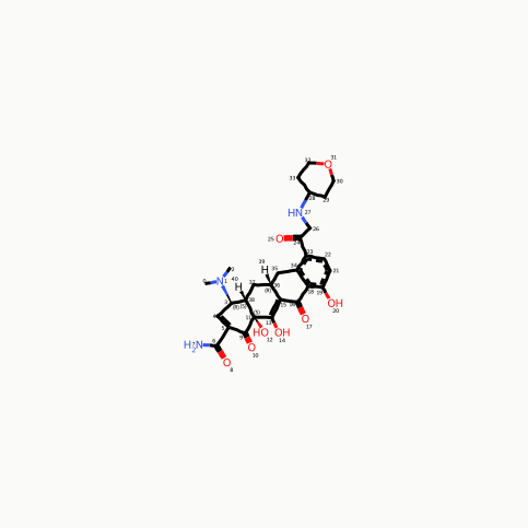 CN(C)[C@@H]1C=C(C(N)=O)C(=O)[C@@]2(O)C(O)=C3C(=O)c4c(O)ccc(C(=O)CNC5CCOCC5)c4C[C@H]3C[C@@H]12